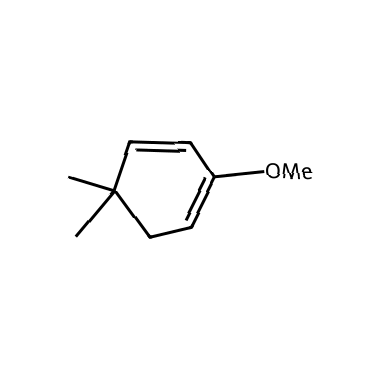 COC1=CCC(C)(C)C=C1